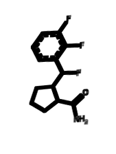 NC(=O)C1CCCC1C(F)c1cccc(F)c1F